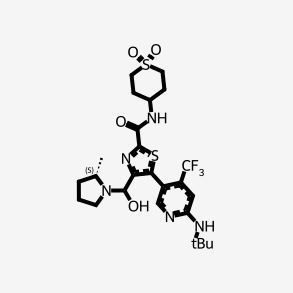 C[C@H]1CCCN1C(O)c1nc(C(=O)NC2CCS(=O)(=O)CC2)sc1-c1cnc(NC(C)(C)C)cc1C(F)(F)F